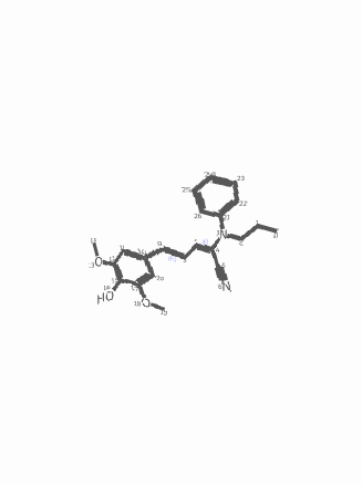 CCCN(/C(C#N)=C/C=C/c1cc(OC)c(O)c(OC)c1)c1ccccc1